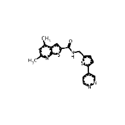 Cc1cc(C)c2cc(C(=O)NCc3ccc(-c4ccnnc4)s3)sc2n1